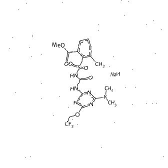 COC(=O)c1cccc(C)c1S(=O)(=O)NC(=O)Nc1nc(OCC(F)(F)F)nc(N(C)C)n1.[NaH]